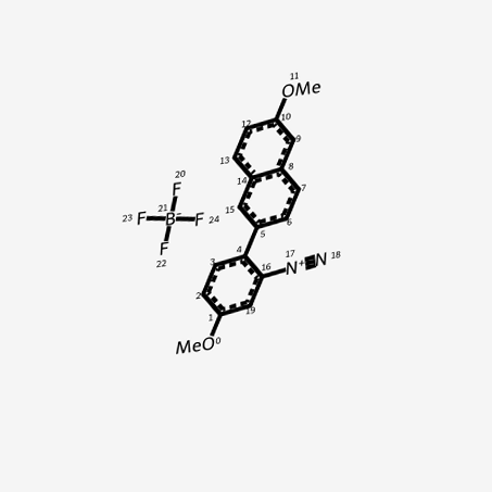 COc1ccc(-c2ccc3cc(OC)ccc3c2)c([N+]#N)c1.F[B-](F)(F)F